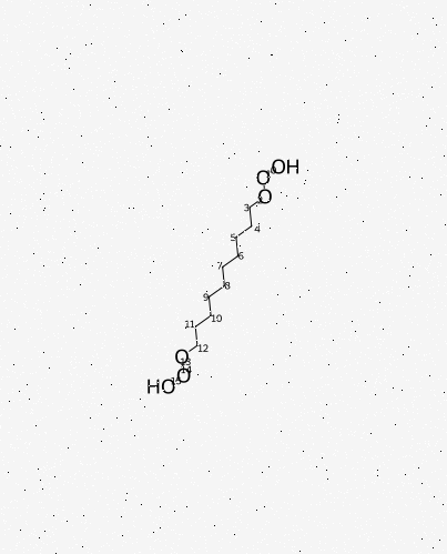 OOOCCCCCCCCCCOOO